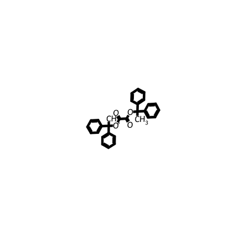 CC(OC(=O)C(=O)OC(C)(c1ccccc1)c1ccccc1)(c1ccccc1)c1ccccc1